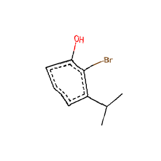 CC(C)c1cccc(O)c1Br